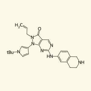 C=CCn1c(=O)c2cnc(Nc3ccc4c(c3)CCNC4)nc2n1-c1ccn(C(C)(C)C)c1